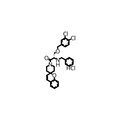 Cl.O=C([C@H](COCc1ccc(Cl)c(Cl)c1)NCc1ccccc1)N1CCC2(C=Cc3ccccc3O2)CC1